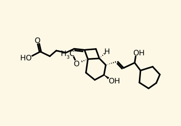 CO[C@@]12CC[C@H](O)[C@@H](/C=C/C(O)C3CCCCC3)[C@@H]1C/C2=C/CCCC(=O)O